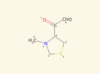 CN1CSCC1C(=O)C=O